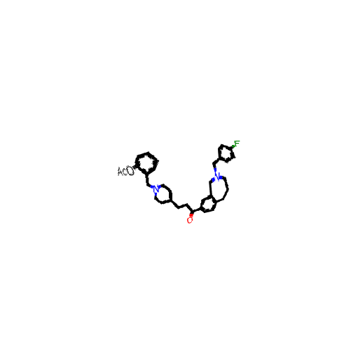 CC(=O)Oc1ccccc1CN1CCC(CCC(=O)c2ccc3c(c2)CN(Cc2ccc(F)cc2)CCC3)CC1